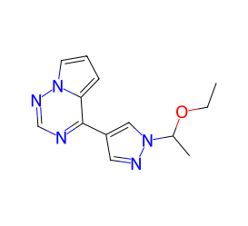 CCOC(C)n1cc(-c2ncnn3cccc23)cn1